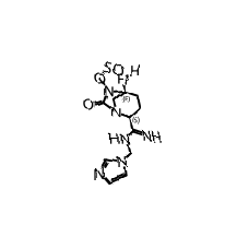 N=C(NCn1ccnc1)[C@@H]1CC[C@@H]2CN1C(=O)N2OS(=O)(=O)O